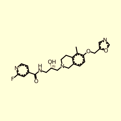 Cc1c(OCc2cnco2)ccc2c1CCN(C[C@@H](O)CNC(=O)c1ccnc(F)c1)C2